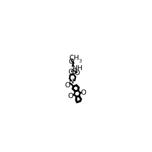 COCCNS(=O)(=O)C1CCN(C(=O)c2ccc3c(c2)C(=O)c2ccccc2C3=O)CC1